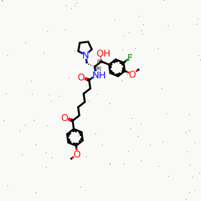 COc1ccc(C(=O)CCCCCC(=O)N[C@H](CN2CCCC2)[C@H](O)c2ccc(OC)c(F)c2)cc1